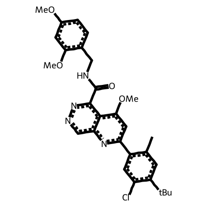 COc1ccc(CNC(=O)c2nncc3nc(-c4cc(Cl)c(C(C)(C)C)cc4C)cc(OC)c23)c(OC)c1